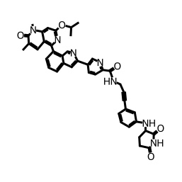 Cc1cc2c(-c3cccc4cc(-c5ccc(C(=O)NCC#Cc6cccc(NC7CCC(=O)NC7=O)c6)nc5)ncc34)nc(OC(C)C)cc2n(C)c1=O